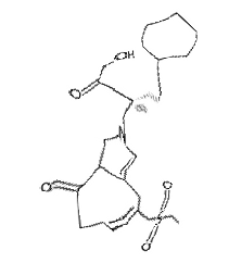 CS(=O)(=O)C1=CCC(=O)C2CN([C@@H](CC3CCCCC3)C(=O)O)C=C12